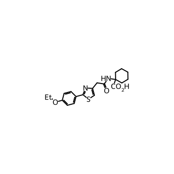 CCOc1ccc(-c2nc(CC(=O)NC3(C(=O)O)CCCCC3)cs2)cc1